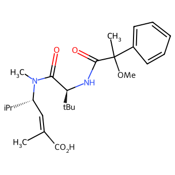 COC(C)(C(=O)N[C@H](C(=O)N(C)[C@H](/C=C(\C)C(=O)O)C(C)C)C(C)(C)C)c1ccccc1